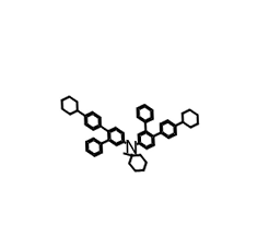 CC1(N(c2ccc(-c3ccc(C4CCCCC4)cc3)c(-c3ccccc3)c2)c2ccc(-c3ccc(C4CCCCC4)cc3)c(-c3ccccc3)c2)CCCCC1